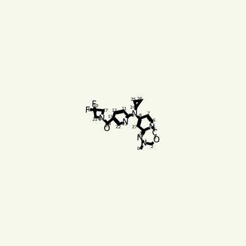 CN1COCN2C=CC(N(c3ccc(C(=O)N4CC(F)(F)C4)cn3)C3CC3)=CC2=N1